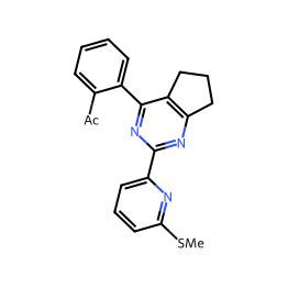 CSc1cccc(-c2nc3c(c(-c4ccccc4C(C)=O)n2)CCC3)n1